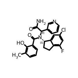 Cc1cccc(C(=O)N([C@H]2CCc3c(F)cc(Cl)cc32)[C@@H](C(N)=O)c2cccnc2)c1O